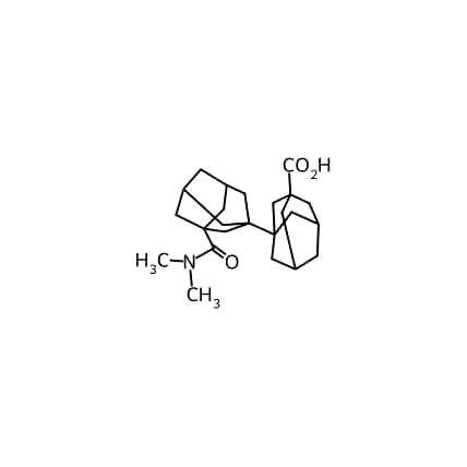 CN(C)C(=O)C12CC3CC(C1)CC(C14CC5CC(CC(C(=O)O)(C5)C1)C4)(C3)C2